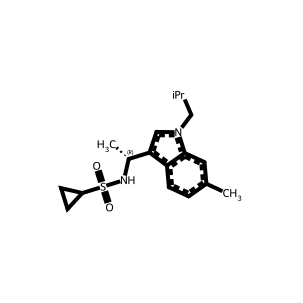 Cc1ccc2c([C@@H](C)NS(=O)(=O)C3CC3)cn(CC(C)C)c2c1